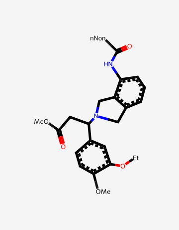 CCCCCCCCCC(=O)Nc1cccc2c1CN(C(CC(=O)OC)c1ccc(OC)c(OCC)c1)C2